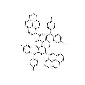 Cc1ccc(N(c2ccc(C)cc2)c2cc(-c3ccc4ccc5cccc6ccc3c4c56)c3ccc4c(N(c5ccc(C)cc5)c5ccc(C)cc5)cc(-c5cc6cccc7ccc8cccc5c8c76)c5ccc2c3c54)cc1